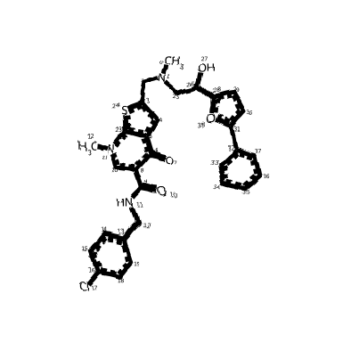 CN(Cc1cc2c(=O)c(C(=O)NCc3ccc(Cl)cc3)cn(C)c2s1)CC(O)c1ccc(-c2ccccc2)o1